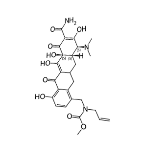 C=CCN(Cc1ccc(O)c2c1CC1C[C@H]3[C@H](N(C)C)C(O)=C(C(N)=O)C(=O)[C@@]3(O)C(O)=C1C2=O)C(=O)OC